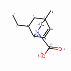 CCC1CC2(C)C=CC1N(C(=O)O)C2